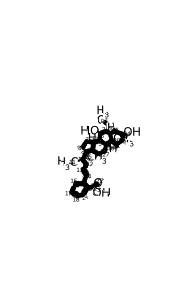 CC[C@H]1[C@@H](O)C2[C@@H]3CC[C@H]([C@H](C)C/C=C/c4ccccc4C(=O)O)C3(C)CC[C@@H]2[C@@]2(C)CC[C@@H](O)C[C@@H]12